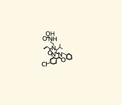 C=CC(=O)N(CCNC(=O)O)C(c1nc2cc(Cl)ccc2c(=O)n1Cc1ccccc1)C(C)C